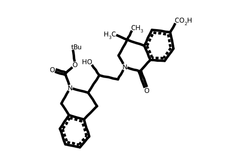 CC(C)(C)OC(=O)N1Cc2ccccc2CC1C(O)CN1CC(C)(C)c2cc(C(=O)O)ccc2C1=O